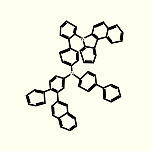 c1ccc(-c2ccc(N(c3ccc(-c4ccccc4-n4c5ccccc5c5c6ccccc6ccc54)cc3)c3ccc(-c4ccccc4)c(-c4ccc5ccccc5c4)c3)cc2)cc1